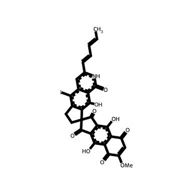 C/C=C/C=C/c1cc2c(I)c3c(c(O)c2c(=O)[nH]1)C1(CC3)C(=O)c2c(O)c3c(c(O)c2C1=O)C(=O)C(OC)=CC3=O